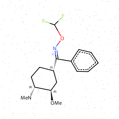 CN[C@@H]1CC[C@H](/C(=N/OC(F)F)c2ccccc2)C[C@H]1OC